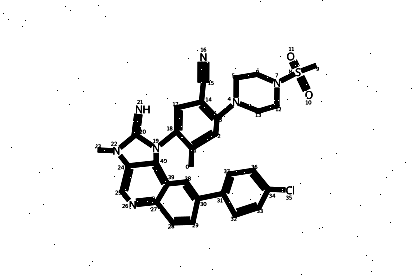 Cc1cc(N2CCN(S(C)(=O)=O)CC2)c(C#N)cc1-n1c(=N)n(C)c2cnc3ccc(-c4ccc(Cl)cc4)cc3c21